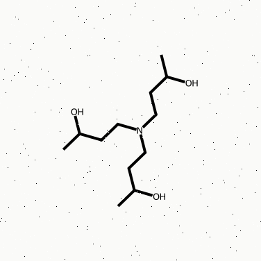 CC(O)CCN(CCC(C)O)CCC(C)O